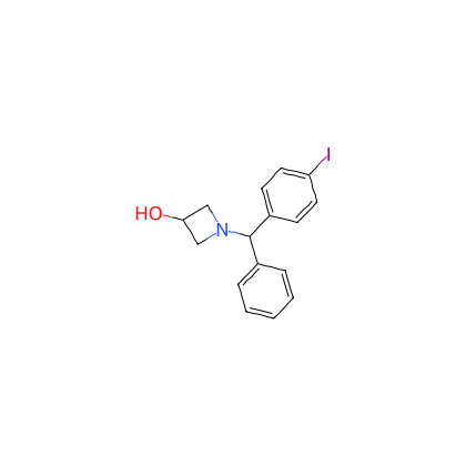 OC1CN(C(c2ccccc2)c2ccc(I)cc2)C1